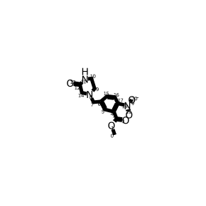 COC(=O)c1cc(CN2CCNC(=O)C2)ccc1[N+](=O)[O-]